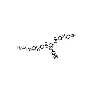 C=CC(=O)OCOc1ccc(OC(=O)C2CCC(C(=O)Oc3ccc(CCOC(=O)C4CCC(C(=O)Oc5ccc(O)cc5)CC4)c4sc(-c5ccc([N+](=O)[O-])cc5)nc34)CC2)cc1